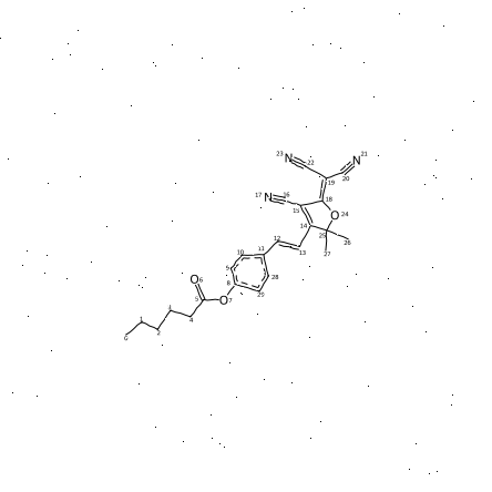 CCCCCC(=O)Oc1ccc(/C=C/C2=C(C#N)C(=C(C#N)C#N)OC2(C)C)cc1